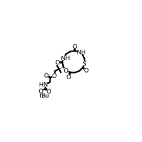 CC(C)(C)OC(=O)NCC(=O)OCC(C)(C)[C@H]1OC(=O)CCC(=O)SCCNC(=O)CCNC1=O